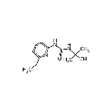 CCc1cccc(NC(=O)NC(C)(C)C)n1